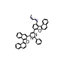 C/C=C\C=C/c1ccc(-c2cc(-c3cc4ccccc4c4c3oc3ccc5ccccc5c34)nc(-c3ccccc3)n2)c2oc3ccc4ccccc4c3c12